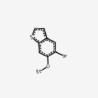 CCOc1cc2sccc2cc1Br